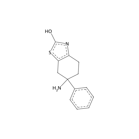 NC1(c2ccccc2)CCc2nc(O)sc2C1